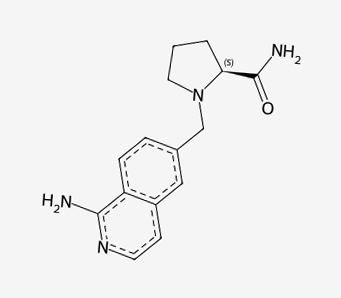 NC(=O)[C@@H]1CCCN1Cc1ccc2c(N)nccc2c1